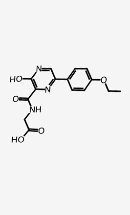 CCOc1ccc(-c2cnc(O)c(C(=O)NCC(=O)O)n2)cc1